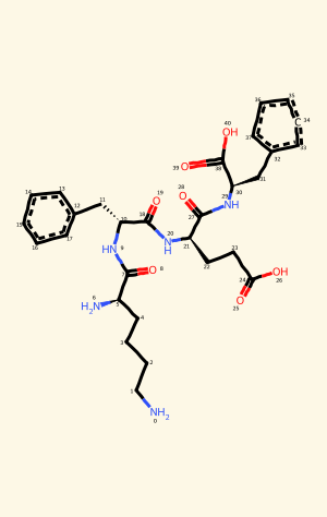 NCCCC[C@@H](N)C(=O)N[C@H](Cc1ccccc1)C(=O)N[C@H](CCC(=O)O)C(=O)N[C@H](Cc1ccccc1)C(=O)O